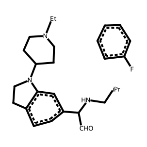 CCN1CCC(N2CCc3ccc(C(C=O)NCC(C)C)cc32)CC1.Fc1ccccc1